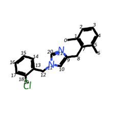 Cc1cccc(C)c1Cc1cn(Cc2ccccc2Cl)cn1